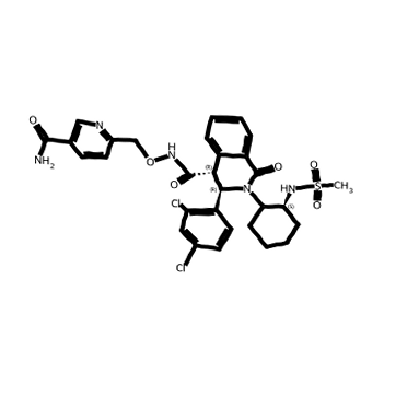 CS(=O)(=O)N[C@H]1CCCCC1N1C(=O)c2ccccc2[C@@H](C(=O)NOCc2ccc(C(N)=O)cn2)[C@@H]1c1ccc(Cl)cc1Cl